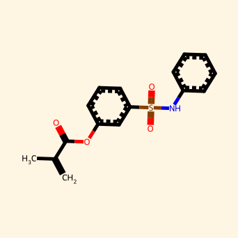 C=C(C)C(=O)Oc1cccc(S(=O)(=O)Nc2ccccc2)c1